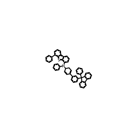 C1=CC(N(c2ccccc2)c2cccc3c2sc2c(-c4ccccc4)cccc23)CC=C1c1cccc(C2(c3ccccc3)c3ccccc3-c3ccccc32)c1